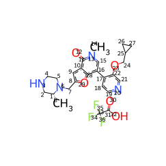 C[C@@H]1CNCCN1Cc1cc2c(=O)n(C)cc(-c3ccncc3OCC3CC3)c2o1.O=C(O)C(F)(F)F